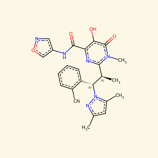 Cc1cc(C)n([C@H](c2ccccc2C#N)[C@H](C)c2nc(C(=O)Nc3cnoc3)c(O)c(=O)n2C)n1